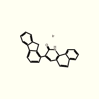 O=c1[nH]c2c(ccc3ccccc32)cc1-c1cccc2c1Cc1ccccc1-2.[Ir]